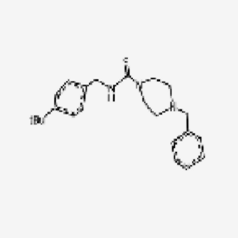 CC(C)(C)c1ccc(CNC(=S)N2CCN(Cc3ccccc3)CC2)cc1